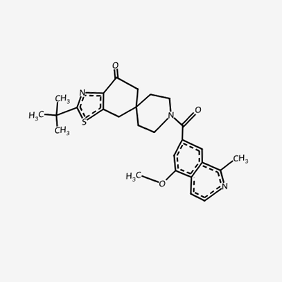 COc1cc(C(=O)N2CCC3(CC2)CC(=O)c2nc(C(C)(C)C)sc2C3)cc2c(C)nccc12